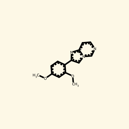 COc1ccc(-c2cn3cnccc3n2)c(OC)c1